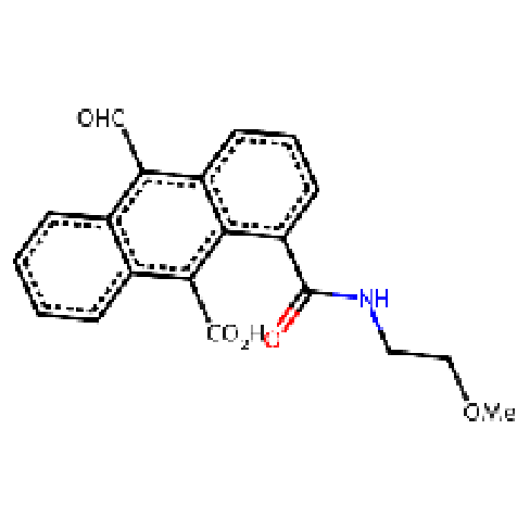 COCCNC(=O)c1cccc2c(C=O)c3ccccc3c(C(=O)O)c12